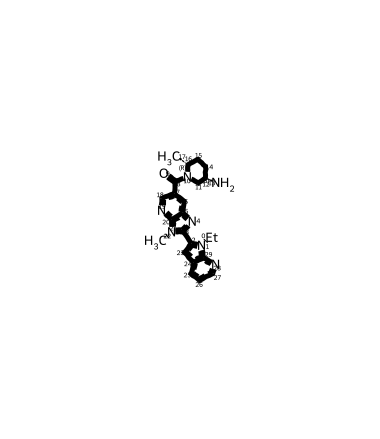 CCn1c(-c2nc3cc(C(=O)N4C[C@@H](N)CC[C@H]4C)cnc3n2C)cc2cccnc21